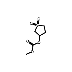 COC(=O)OC1CCS(=O)(=O)C1